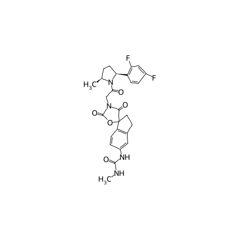 CNC(=O)Nc1ccc2c(c1)CCC21OC(=O)N(CC(=O)N2[C@@H](C)CC[C@H]2c2ccc(F)cc2F)C1=O